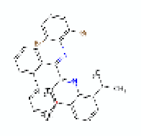 CC(C)c1cccc(C(C)C)c1/N=C1/C(=N/c2c(Br)cccc2Br)c2ccccc2-c2ccccc21